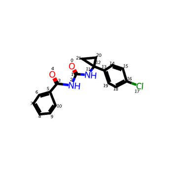 O=C(NC(=O)c1ccccc1)NC1(c2ccc(Cl)cc2)CC1